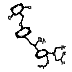 CCCOc1ccc(C(Cc2ccc(OCc3c(Cl)cccc3Cl)cc2)C(=O)O)cc1N(CC(C)C)CC(CC)CC